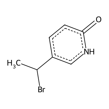 CC(Br)c1ccc(=O)[nH]c1